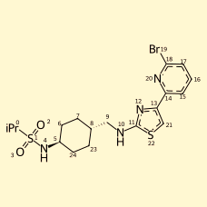 CC(C)S(=O)(=O)N[C@H]1CC[C@H](CNc2nc(-c3cccc(Br)n3)cs2)CC1